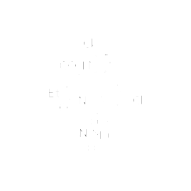 CCC1(CC(=O)O)CC(c2cccc(Cl)c2)C(c2ccc(Cl)cc2)N(C(CN(C)S(=O)(=O)CC)C2CC2)C1=O